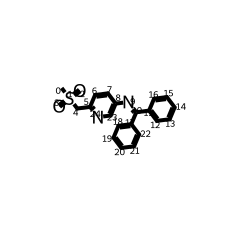 CS(=O)(=O)Cc1ccc(N=C(c2ccccc2)c2ccccc2)cn1